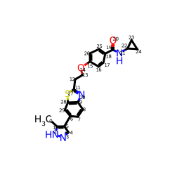 Cc1[nH]ncc1-c1ccc2nc(CCOc3ccc(C(=O)NC4CC4)cc3)sc2c1